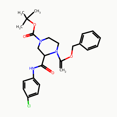 C=C(OCc1ccccc1)N1CCN(C(=O)OC(C)(C)C)CC1C(=O)Nc1ccc(Cl)cc1